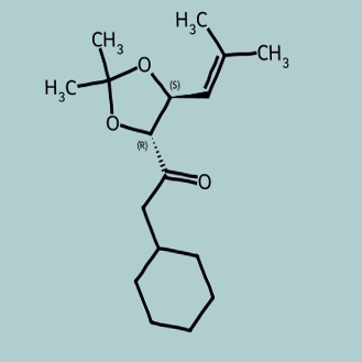 CC(C)=C[C@@H]1OC(C)(C)O[C@H]1C(=O)CC1CCCCC1